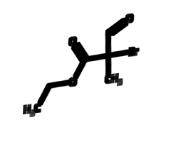 CCOC(=O)C(C)(Br)C=O